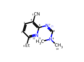 CCc1ccc(C#N)c(/N=C\N(C)C)n1